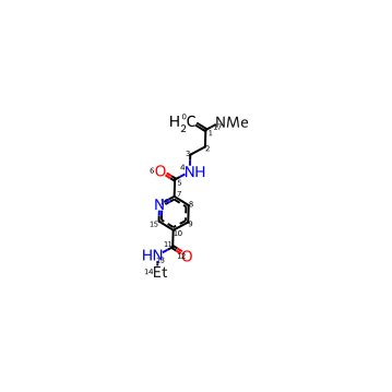 C=C(CCNC(=O)c1ccc(C(=O)NCC)cn1)NC